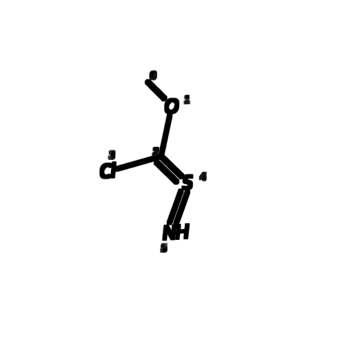 COC(Cl)=S=N